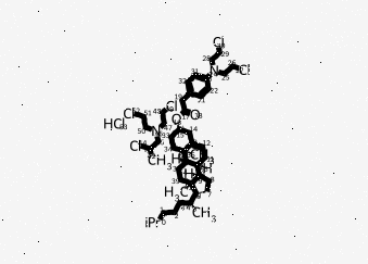 CC(C)CCC[C@@H](C)[C@H]1CC[C@H]2[C@@H]3CC=C4C[C@@H](OC(=O)Cc5ccc(N(CCCl)CCCl)cc5)CC[C@]4(C)[C@H]3CC[C@]12C.CC(Cl)CN(CCCl)CCCl.Cl